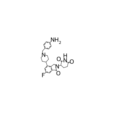 Nc1ccc(CN2CCC(c3cc(F)cc4c3CN(C3CCC(=O)NC3=O)C4=O)CC2)cc1